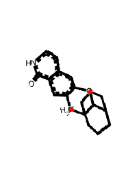 NC12CCCC(CSC1)C2Oc1cc2cc[nH]c(=O)c2cc1Cl